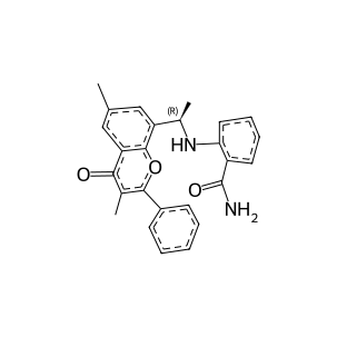 Cc1cc([C@@H](C)Nc2ccccc2C(N)=O)c2oc(-c3ccccc3)c(C)c(=O)c2c1